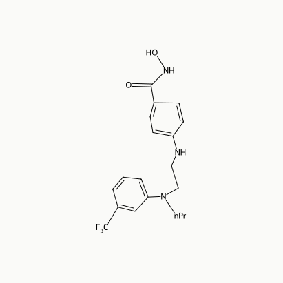 CCCN(CCNc1ccc(C(=O)NO)cc1)c1cccc(C(F)(F)F)c1